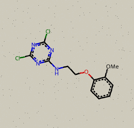 COc1ccccc1OCCNc1nc(Cl)nc(Cl)n1